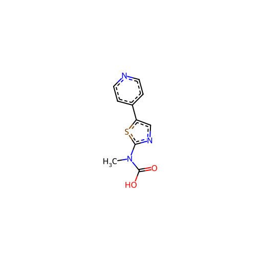 CN(C(=O)O)c1ncc(-c2ccncc2)s1